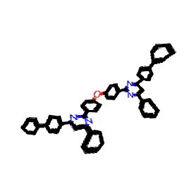 c1ccc(-c2ccc(-c3cc(-c4ccccc4)nc(-c4ccc(Oc5ccc(-c6nc(-c7ccccc7)cc(-c7ccc(-c8ccccc8)cc7)n6)cc5)cc4)n3)cc2)cc1